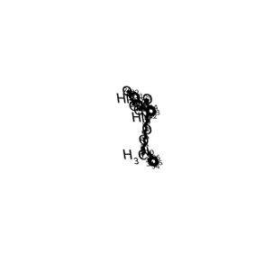 CN(CCOCCOCCNc1cccc2c1C(=O)N(C1CCC(=O)NC1=O)C2=O)Cc1ccccc1